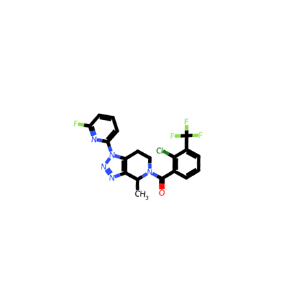 CC1c2nnn(-c3cccc(F)n3)c2CCN1C(=O)c1cccc(C(F)(F)F)c1Cl